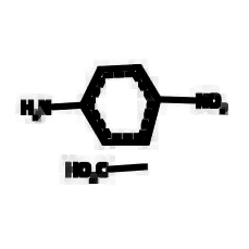 CC(=O)O.Nc1ccc([N+](=O)[O-])cc1